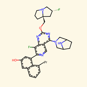 CC(C)c1cccc2cc(O)cc(-c3ncc4c(N5CC6CCC(C5)N6)nc(OC[C@@]56CCCN5C[C@H](F)C6)nc4c3F)c12